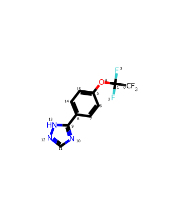 FC(F)(F)C(F)(F)Oc1ccc(-c2n[c]n[nH]2)cc1